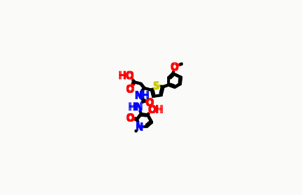 COc1cccc(-c2ccc(C(CC(=O)O)NC(=O)Nc3c(O)ccn(C)c3=O)s2)c1